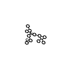 c1ccc(-c2ccc(N(c3ccc(-c4ccc5c(c4)c(-c4ccccc4)c(-c4ccccc4)c4ccccc45)cc3)c3cccc(-c4cccc5c4oc4ccccc45)c3)c3ccccc23)cc1